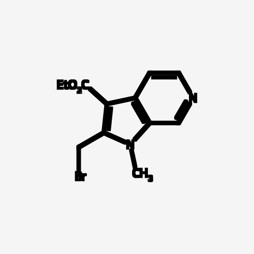 CCOC(=O)c1c(CBr)n(C)c2cnccc12